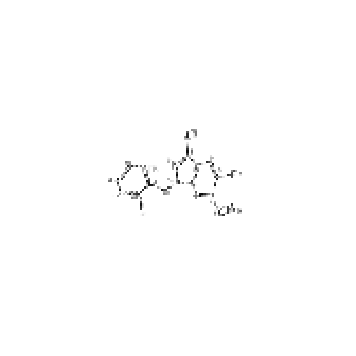 Cc1nc2c(cc1F)c(C#N)nn2Cc1ncccc1F